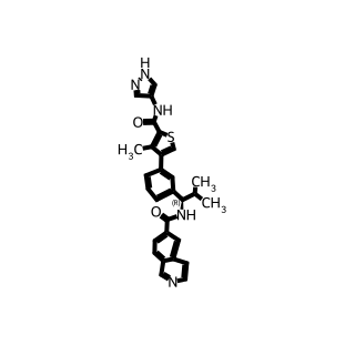 Cc1c(-c2cccc([C@H](NC(=O)c3ccc4cnccc4c3)C(C)C)c2)csc1C(=O)Nc1cn[nH]c1